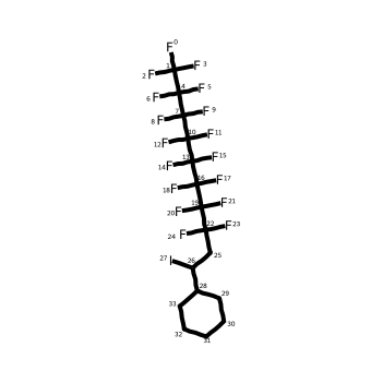 FC(F)(F)C(F)(F)C(F)(F)C(F)(F)C(F)(F)C(F)(F)C(F)(F)C(F)(F)CC(I)C1CCCCC1